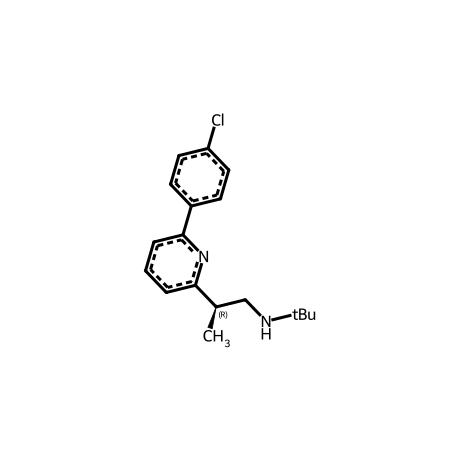 C[C@H](CNC(C)(C)C)c1cccc(-c2ccc(Cl)cc2)n1